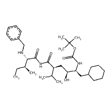 CC[C@H](C)[C@H](NCc1ccccc1)C(=O)NC(=O)[C@@H](C[C@H](O)[C@H](CC1CCCCC1)NC(=O)OC(C)(C)C)C(C)C